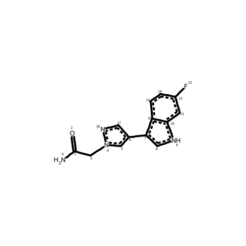 NC(=O)Cn1cc(-c2c[nH]c3cc(F)ccc23)cn1